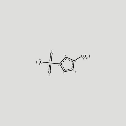 CS(=O)(=O)c1csc(C(=O)O)c1